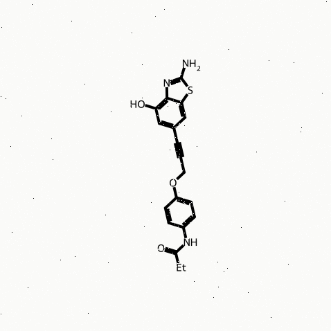 CCC(=O)Nc1ccc(OCC#Cc2cc(O)c3nc(N)sc3c2)cc1